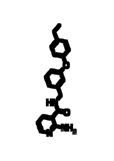 CCc1ccc(Oc2cccc(CNC(=O)c3cccnc3N)c2)cc1